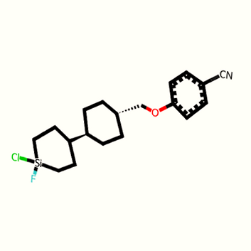 N#Cc1ccc(OC[C@H]2CC[C@H](C3CC[Si](F)(Cl)CC3)CC2)cc1